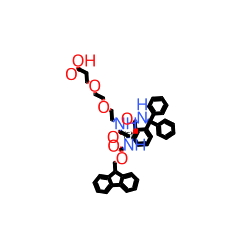 O=C(O)CCOCCOCCNC(=O)[C@H](CC(=O)NC(c1ccccc1)(c1ccccc1)c1ccccc1)NC(=O)OCC1c2ccccc2-c2ccccc21